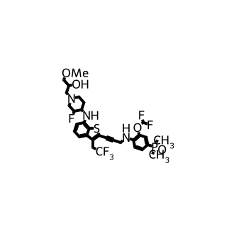 COCC(O)CN1CCC(Nc2cccc3c(CC(F)(F)F)c(C#CCNc4ccc(P(C)(C)=O)cc4OC(F)F)sc23)C(F)C1